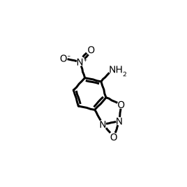 Nc1c([N+](=O)[O-])ccc2c1on1on21